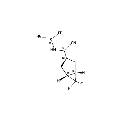 CC(C)(C)[S@+]([O-])N[C@H](C#N)[C@@H]1C[C@@H]2[C@H](C1)C2(F)F